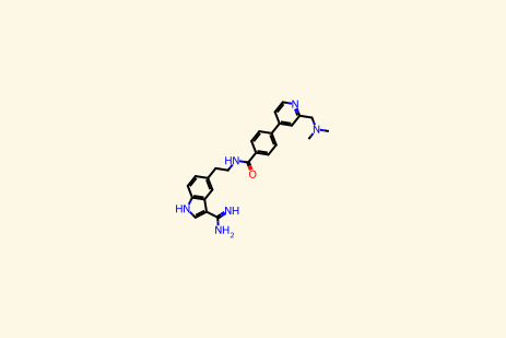 CN(C)Cc1cc(-c2ccc(C(=O)NCCc3ccc4[nH]cc(C(=N)N)c4c3)cc2)ccn1